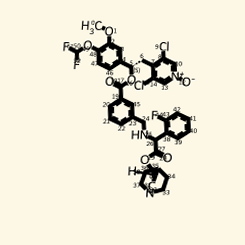 COc1cc([C@H](Cc2c(Cl)c[n+]([O-])cc2Cl)OC(=O)c2cccc(CNC(C(=O)O[C@H]3CN4CCC3CC4)c3ccccc3F)c2)ccc1OC(F)F